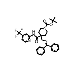 CC(C)(C)OC(=O)N1CCC(CN=C(c2ccccc2)c2ccccc2)(C(=O)Nc2cc(C(F)(F)F)ccn2)CC1